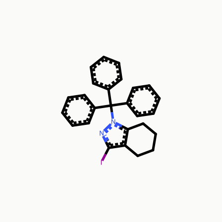 Ic1nn(C(c2ccccc2)(c2ccccc2)c2ccccc2)c2c1CCCC2